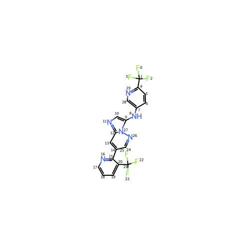 FC(F)(F)c1ccc(Nc2cnc3cc(-c4ncccc4C(F)(F)F)cnn23)cn1